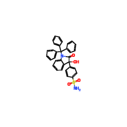 NS(=O)(=O)c1ccc(C2(O)C(=O)N(C(c3ccccc3)(c3ccccc3)c3ccccc3)c3ccccc32)cc1